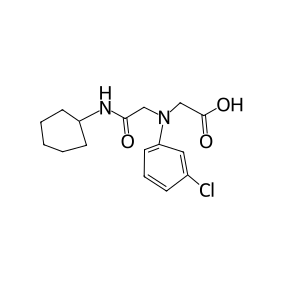 O=C(O)CN(CC(=O)NC1CCCCC1)c1cccc(Cl)c1